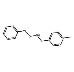 Cc1ccc(CNOCc2ccccc2)cc1